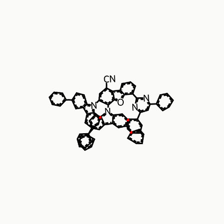 N#Cc1cc(-n2c3ccc(-c4ccccc4)cc3c3cc(-c4ccccc4)ccc32)c(-n2c3ccc(-c4ccccc4)cc3c3cc(-c4ccccc4)ccc32)c2oc3c(-c4nc(-c5ccccc5)cc(-c5ccccc5)n4)cccc3c12